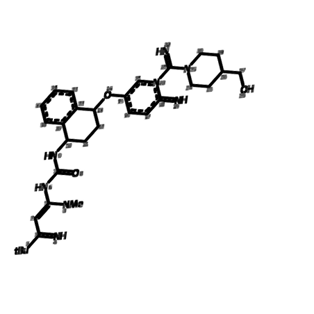 CN/C(=C\C(=N)C(C)(C)C)NC(=O)NC1CCC(Oc2ccc(=N)n(C(=N)N3CCC(CO)CC3)c2)c2ccccc21